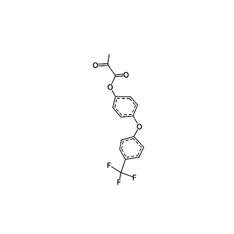 CC(=O)C(=O)Oc1ccc(Oc2ccc(C(F)(F)F)cc2)cc1